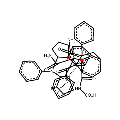 NC(=O)C1(c2ccccc2)Cc2ccc(cc2)[C@]1(C(=O)NC(=O)O)N1CCCC1N(c1ccccc1)C1CCCN1[C@@]1(C(=O)NC(=O)O)c2ccc(cc2)CC1(C(N)=O)c1ccccc1